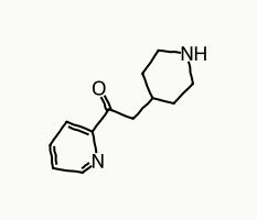 O=C(CC1CCNCC1)c1ccccn1